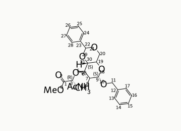 COC(=O)[C@@H](C)O[C@@H]1C(NC(C)=O)[C@@H](OCc2ccccc2)OC2COC(c3ccccc3)O[C@H]21